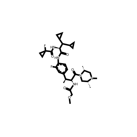 COCC(=O)N[C@@H](C(=O)N1C[C@@H](C)N(C)C[C@H]1C)[C@@H](C)c1ccc(NC(=O)[C@@H](NC(=O)C2(F)CC2)C(C2CC2)C2CC2)c(F)c1